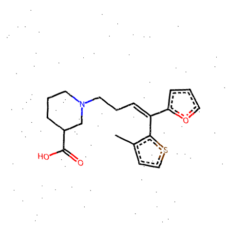 Cc1ccsc1C(=CCCN1CCCC(C(=O)O)C1)c1ccco1